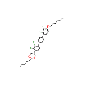 C/C=C/CCC1OCC(c2ccc(-c3ccc(-c4ccc(OCCCCCCC)c(F)c4F)cc3)c(F)c2F)CO1